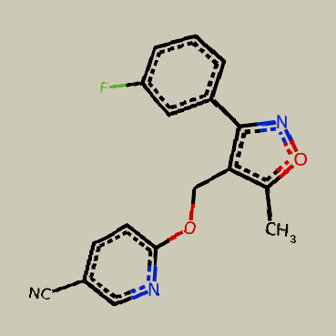 Cc1onc(-c2cccc(F)c2)c1COc1ccc(C#N)cn1